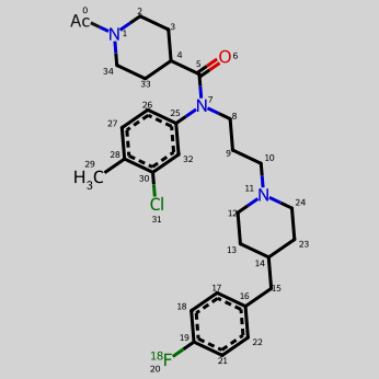 CC(=O)N1CCC(C(=O)N(CCCN2CCC(Cc3ccc([18F])cc3)CC2)c2ccc(C)c(Cl)c2)CC1